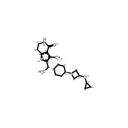 Cc1c(C(C)[C@H]2CC[C@H](N3CC(OC4CC4)C3)CC2)sc2c1C(=O)NCC2